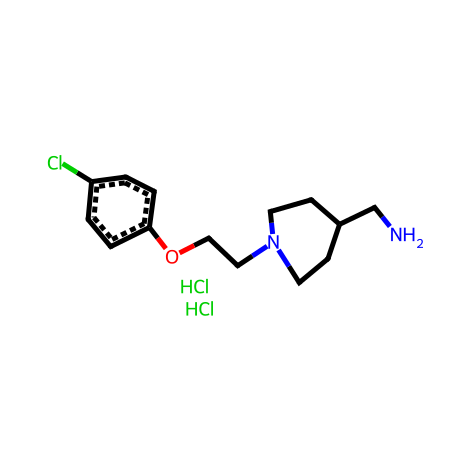 Cl.Cl.NCC1CCN(CCOc2ccc(Cl)cc2)CC1